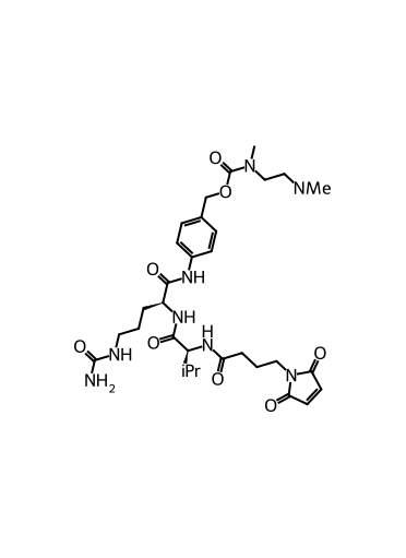 CNCCN(C)C(=O)OCc1ccc(NC(=O)[C@H](CCCNC(N)=O)NC(=O)[C@@H](NC(=O)CCCN2C(=O)C=CC2=O)C(C)C)cc1